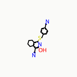 N#Cc1ccc(CSc2nc(O)c(C#N)c3c2CCCC3)cc1